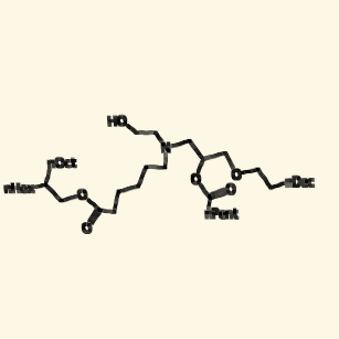 CCCCCCCCCCCCOCC(CN(CCO)CCCCCC(=O)OCC(CCCCCC)CCCCCCCC)OC(=O)CCCCC